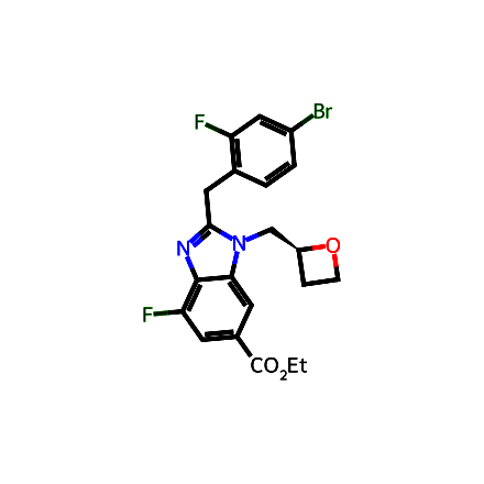 CCOC(=O)c1cc(F)c2nc(Cc3ccc(Br)cc3F)n(C[C@@H]3CCO3)c2c1